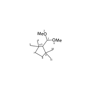 COC(OC)C1C(C)(C)CCC1(C)C